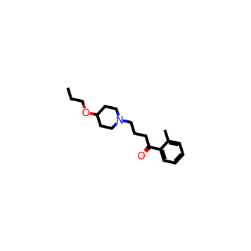 CCCOC1CCN(CCCC(=O)c2ccccc2C)CC1